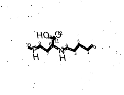 CCCCCNC(CCPC)C(=O)O